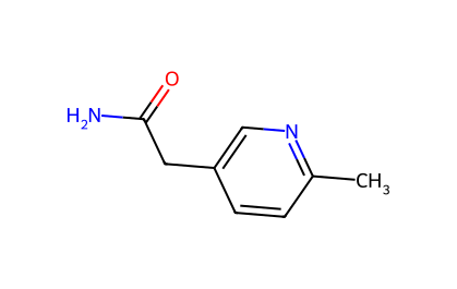 Cc1ccc(CC(N)=O)cn1